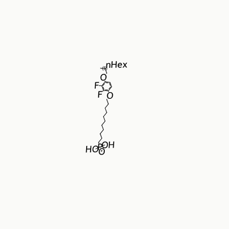 CCCCCC[C@H](C)COc1ccc(OCCCCCCCCCCCP(=O)(O)O)c(F)c1F